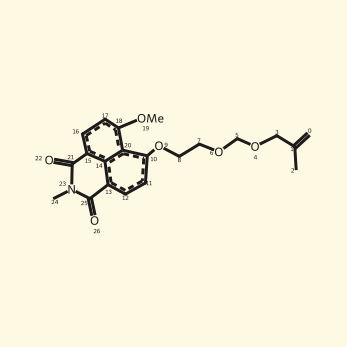 C=C(C)COCOCCOc1ccc2c3c(ccc(OC)c13)C(=O)N(C)C2=O